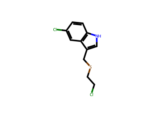 ClCCSCc1c[nH]c2ccc(Cl)cc12